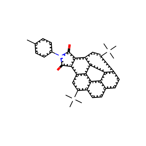 Cc1ccc(-n2c(=O)c3c4cc([Si](C)(C)C)c5ccc6ccc7c([Si](C)(C)C)cc(c3c2=O)c2c7c6c5c42)cc1